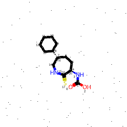 O=C(O)N[C@@H]1CC[C@@H](C2CCCCC2)CNC1=S